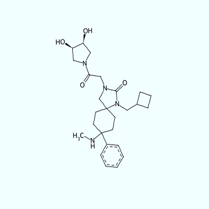 CNC1(c2ccccc2)CCC2(CC1)CN(CC(=O)N1C[C@@H](O)[C@@H](O)C1)C(=O)N2CC1CCC1